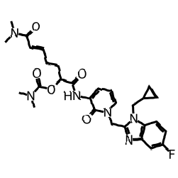 CN(C)C(=O)C=CCCC(OC(=O)N(C)C)C(=O)Nc1cccn(Cc2nc3cc(F)ccc3n2CC2CC2)c1=O